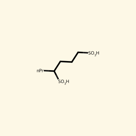 [CH2]CCC(CCCS(=O)(=O)O)S(=O)(=O)O